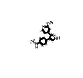 CCCc1cc(-c2n[nH]cc2-c2ccc(NC(C)C)cc2)ccn1